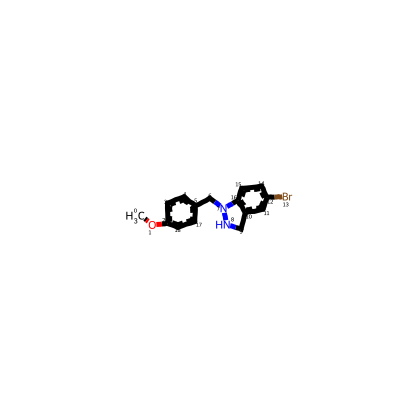 COc1ccc(CN2NCc3cc(Br)ccc32)cc1